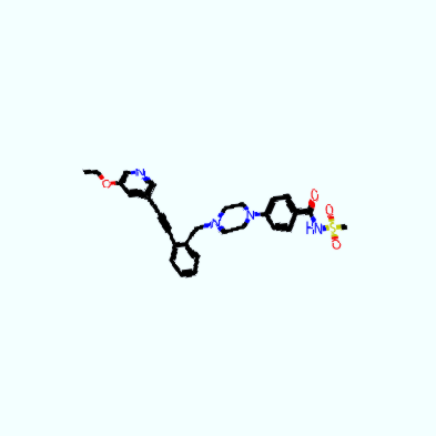 CCOc1cncc(C#Cc2ccccc2CN2CCN(c3ccc(C(=O)NS(C)(=O)=O)cc3)CC2)c1